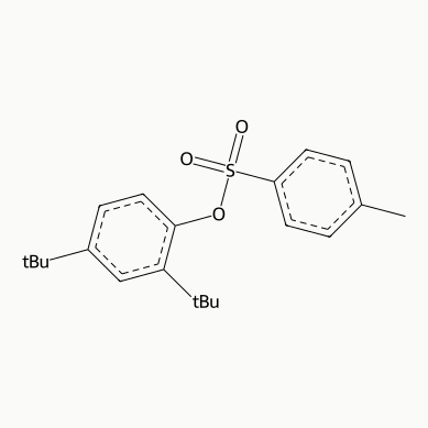 Cc1ccc(S(=O)(=O)Oc2ccc(C(C)(C)C)cc2C(C)(C)C)cc1